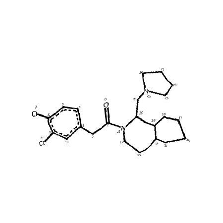 O=C(Cc1ccc(Cl)c(Cl)c1)N1CCC2CCCCC2C1CN1CCCC1